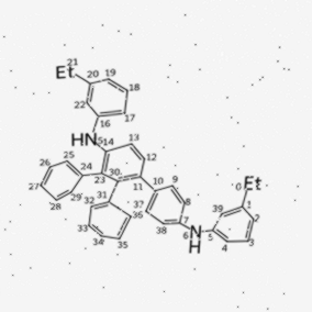 CCc1cccc(Nc2ccc(-c3ccc(Nc4cccc(CC)c4)c(-c4ccccc4)c3-c3ccccc3)cc2)c1